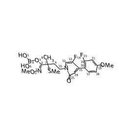 CO/N=C(\OB(O)O)C(C)(CCn1cc(F)c(-c2ccc(OC)cc2F)cc1=O)SC